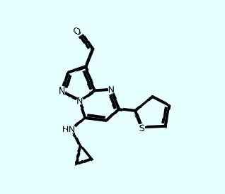 O=Cc1cnn2c(NC3CC3)cc(C3CC=CS3)nc12